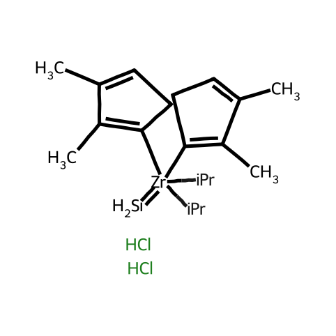 CC1=CC[C]([Zr](=[SiH2])([C]2=C(C)C(C)=CC2)([CH](C)C)[CH](C)C)=C1C.Cl.Cl